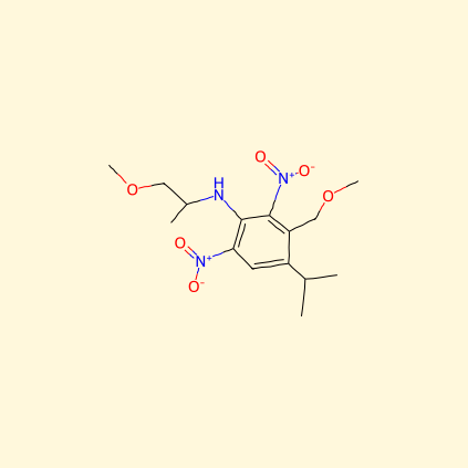 COCc1c(C(C)C)cc([N+](=O)[O-])c(NC(C)COC)c1[N+](=O)[O-]